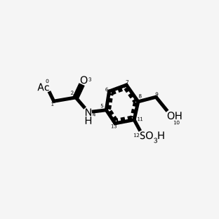 CC(=O)CC(=O)Nc1ccc(CO)c(S(=O)(=O)O)c1